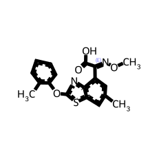 CO/N=C(/C(=O)O)c1cc(C)cc2sc(Oc3ccccc3C)nc12